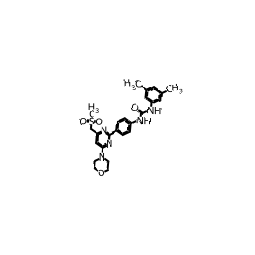 Cc1cc(C)cc(NC(=O)Nc2ccc(-c3nc(CS(C)(=O)=O)cc(N4CCOCC4)n3)cc2)c1